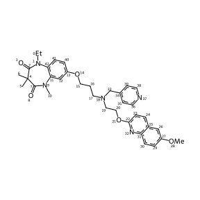 CCN1C(=O)C(C)(C)C(=O)N(C)c2cc(OCCCN(CCOc3ccc4cc(OC)ccc4n3)Cc3ccncc3)ccc21